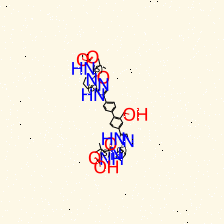 COC(=O)N[C@H](C(=O)N1CCC[C@H]1c1ncc(-c2ccc(-c3ccc(-c4cnc([C@@H]5CCCN5C(=O)[C@@H](NC(=O)O)C(C)C)[nH]4)cc3CO)cc2)[nH]1)C(C)C